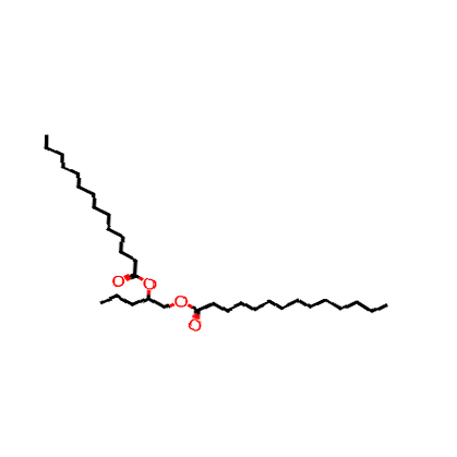 CCCCCCCCCCCCCC(=O)OCC(CCC)OC(=O)CCCCCCCCCCCCC